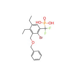 CCc1cc(C(F)(F)P(=O)(O)O)c(Br)c(COCc2ccccc2)c1CC